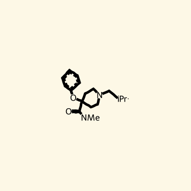 CNC(=O)C1(Oc2ccccc2)CCN(C[C](C)C)CC1